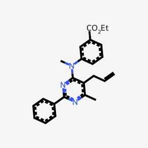 C=CCc1c(C)nc(-c2ccccc2)nc1N(C)c1cccc(C(=O)OCC)c1